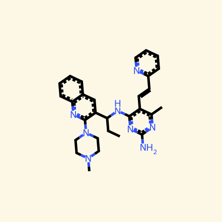 CCC(Nc1nc(N)nc(C)c1C=Cc1ccccn1)c1cc2ccccc2nc1N1CCN(C)CC1